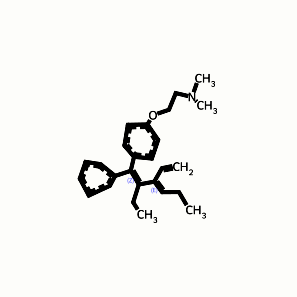 C=CC(=C\CC)/C(CC)=C(/c1ccccc1)c1ccc(OCCN(C)C)cc1